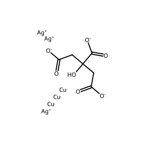 O=C([O-])CC(O)(CC(=O)[O-])C(=O)[O-].[Ag+].[Ag+].[Ag+].[Cu].[Cu].[Cu]